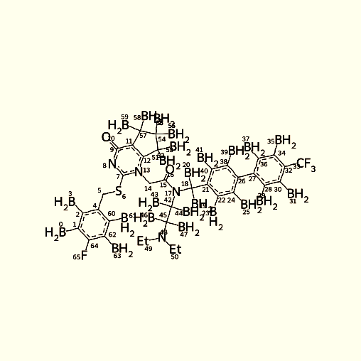 Bc1c(B)c(CSc2nc(=O)c3c(n2CC(=O)N(C(B)(B)c2c(B)c(B)c(-c4c(B)c(B)c(C(F)(F)F)c(B)c4B)c(B)c2B)C(B)(B)C(B)(B)N(CC)CC)C(B)(B)C(B)(B)C3(B)B)c(B)c(B)c1F